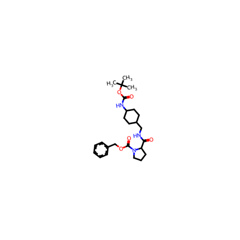 CC(C)(C)OC(=O)NC1CCC(CNC(=O)C2CCCN2C(=O)OCc2ccccc2)CC1